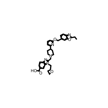 CCc1nc2ccc(COc3cccc(C4CCN(Cc5nc6ccc(C(=O)O)cc6n5CC5CCO5)CC4)n3)cc2o1